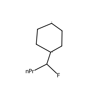 CCCC(F)[C]1CC[CH]CC1